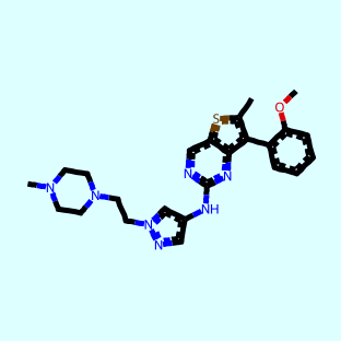 COc1ccccc1-c1c(C)sc2cnc(Nc3cnn(CCN4CCN(C)CC4)c3)nc12